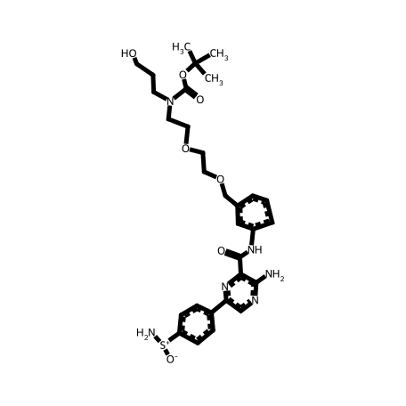 CC(C)(C)OC(=O)N(CCCO)CCOCCOCc1cccc(NC(=O)c2nc(-c3ccc([S+](N)[O-])cc3)cnc2N)c1